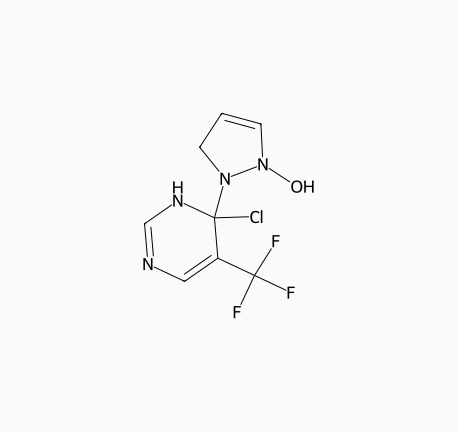 ON1C=CCN1C1(Cl)NC=NC=C1C(F)(F)F